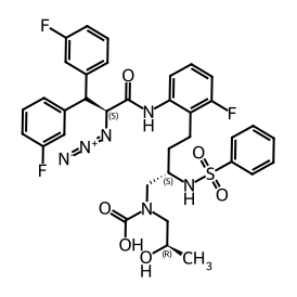 C[C@@H](O)CN(C[C@H](CCc1c(F)cccc1NC(=O)[C@@H](N=[N+]=[N-])C(c1cccc(F)c1)c1cccc(F)c1)NS(=O)(=O)c1ccccc1)C(=O)O